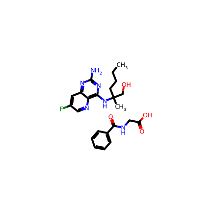 CCCCC(C)(CO)Nc1nc(N)nc2cc(F)cnc12.O=C(O)CNC(=O)c1ccccc1